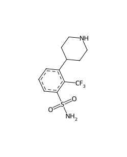 NS(=O)(=O)c1cccc(C2CCNCC2)c1C(F)(F)F